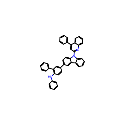 c1ccc(Nc2ccc(-c3ccc4c(c3)c3ccccc3n4-c3cc(-c4ccccc4)c4ccccc4n3)cc2-c2ccccc2)cc1